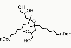 CCCCCCCCCCCCCCCCC(C)(CC(O)CO)OC(C)(CCCCCCCCCCCCCCCC)CC(O)CO